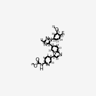 COC(=O)Nc1ccc(-c2cnc3ccc(-c4nc(C)nn4-c4ccc(F)c(OC)c4)cn23)cn1